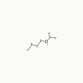 [CH2]C(C)O[CH]CCC